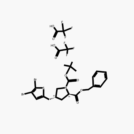 CC(C)(C)OC(=O)N1C[C@@H](Cc2cc(Br)c(Br)s2)C[C@@H]1C(=O)OCc1ccccc1.O=C(O)C(F)(F)F.O=C(O)C(F)(F)F